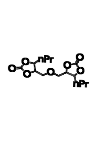 CCCC1OC(=O)OC1COCC1OC(=O)OC1CCC